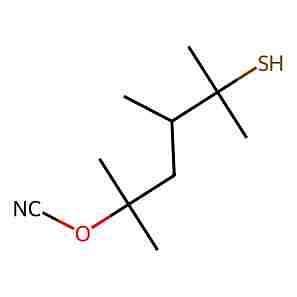 CC(CC(C)(C)OC#N)C(C)(C)S